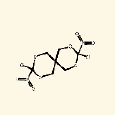 O=P(=O)C1(Cl)OCC2(CO1)COC(Cl)(P(=O)=O)OC2